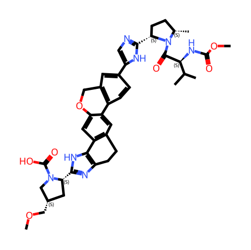 COC[C@H]1C[C@@H](c2nc3c([nH]2)-c2cc4c(cc2CC3)-c2ccc(-c3cnc([C@@H]5CC[C@H](C)N5C(=O)[C@@H](NC(=O)OC)C(C)C)[nH]3)cc2CO4)N(C(=O)O)C1